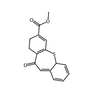 COC(=O)C1=CC2=C(CC1)C(=O)C=C1C=CC=CC1S2